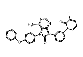 Nc1ncnc2c1n(-c1ccc(Oc3ccccc3)cc1)c(=O)n2-c1cccc(C2C=CC=C(F)C2=O)c1